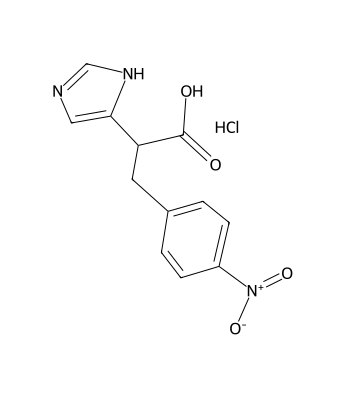 Cl.O=C(O)C(Cc1ccc([N+](=O)[O-])cc1)c1cnc[nH]1